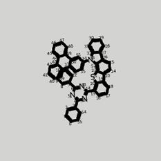 c1ccc(-c2nc(-c3ccccc3)nc(-c3cccc4c3sc3c4ccc4c5ccccc5n(-c5ccc6c7ccccc7c7ccccc7c6c5)c43)n2)cc1